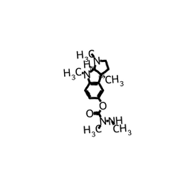 CNN(C)C(=O)Oc1ccc2c(c1)[C@]1(C)CCN(C)[C@@H]1N2C